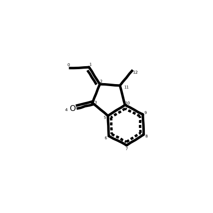 C/C=C1\C(=O)c2ccccc2C1C